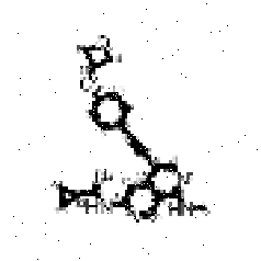 CNc1ncc(C#Cc2ccc(OC3COC3)cc2)c2cc(NC(=O)C3CC3)ncc12